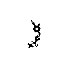 Cc1cc(CN2CC(C(=O)OC(C)(C)C)C2)ccc1C#N